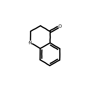 O=C1CC[N]c2ccccc21